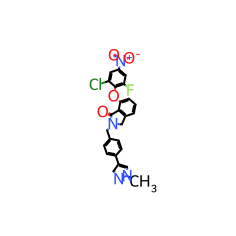 Cn1cc(-c2ccc(CN3Cc4cccc(Oc5c(F)cc([N+](=O)[O-])cc5Cl)c4C3=O)cc2)cn1